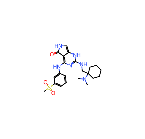 CN(C)C1(CNc2nc(Nc3cccc(S(C)(=O)=O)c3)c3c(=O)[nH]cc-3[nH]2)CCCCC1